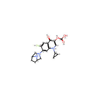 CN1C2CCC1CN(c1cc3c(cc1F)c(=O)c(OC(=O)O)cn3C1CC1)C2